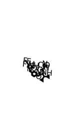 Cc1nonc1C(=O)NC(c1nc2cc(CN3CC(C(F)(F)F)NC3=O)ccc2o1)C(C1CC1)C1CC1